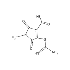 CN1C(=O)C(SC(=N)N)=C(C(=O)S)C1=O